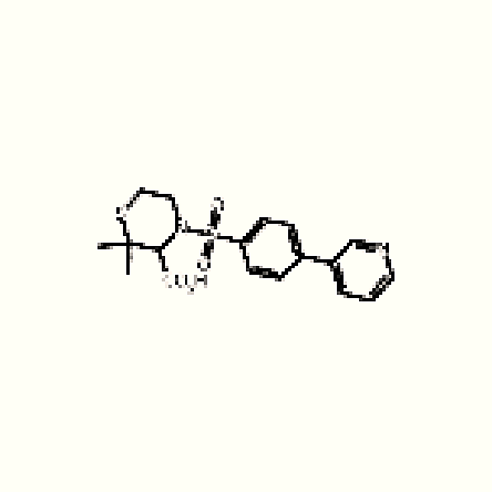 CC1(C)SCCN(S(=O)(=O)c2ccc(-c3cccnc3)cc2)C1C(=O)O